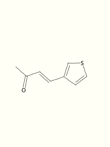 CC(=O)C=Cc1ccsc1